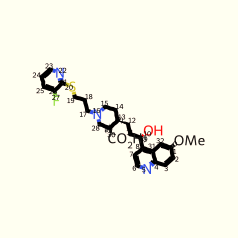 COc1ccc2nccc([C@H](O)CC[C@@H]3CCN(CCCSc4ncccc4F)C[C@@H]3C(=O)O)c2c1